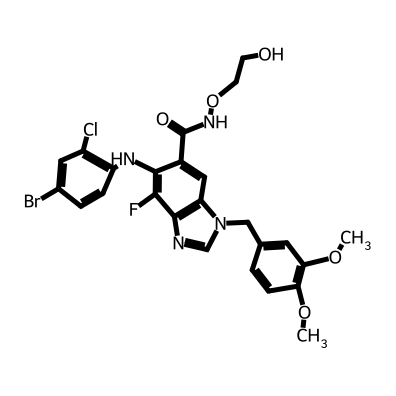 COc1ccc(Cn2cnc3c(F)c(Nc4ccc(Br)cc4Cl)c(C(=O)NOCCO)cc32)cc1OC